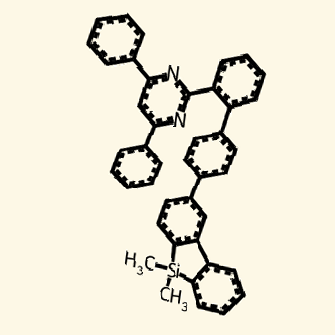 C[Si]1(C)c2ccccc2-c2cc(-c3ccc(-c4ccccc4-c4nc(-c5ccccc5)cc(-c5ccccc5)n4)cc3)ccc21